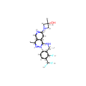 Cc1nnc(N[C@H](C)c2cccc(C(F)F)c2F)c2cc(N3CC(C)(O)C3)ncc12